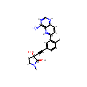 Cc1ccc(C#C[C@@]2(O)CCN(C)C2=O)cc1-c1ccc2ncnc(N)c2n1